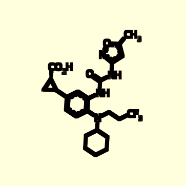 Cc1cc(NC(=O)Nc2cc(C3C[C@H]3C(=O)O)ccc2N(CCC(F)(F)F)C2CCCCC2)no1